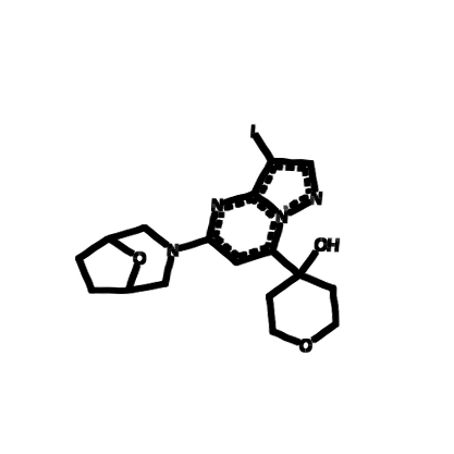 OC1(c2cc(N3CC4CCC(C3)O4)nc3c(I)cnn23)CCOCC1